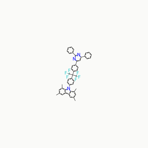 Cc1cc(C)c2c(c1)c1cc(C)cc(C)c1n2-c1ccc(C(c2ccc(-c3cc(-c4ccccc4)nc(-c4ccccc4)n3)cc2)(C(F)(F)F)C(F)(F)F)cc1